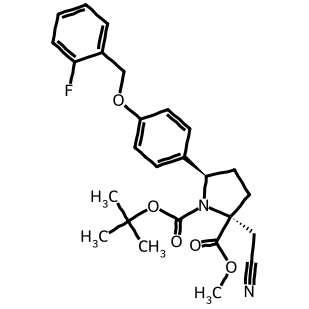 COC(=O)[C@]1(CC#N)CC[C@H](c2ccc(OCc3ccccc3F)cc2)N1C(=O)OC(C)(C)C